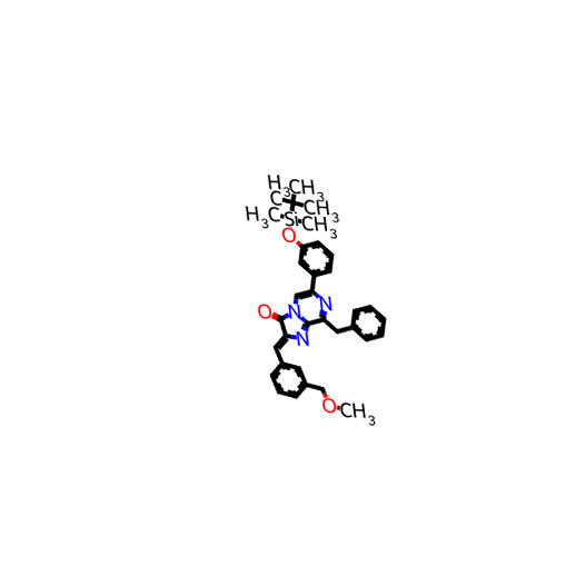 COCc1cccc(/C=C2\N=C3C(Cc4ccccc4)=NC(c4cccc(O[Si](C)(C)C(C)(C)C)c4)=CN3C2=O)c1